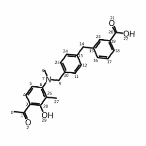 CC(=O)c1ccc(N(C)Cc2ccc(Cc3cccc(C(=O)O)c3)cc2)c(C)c1O